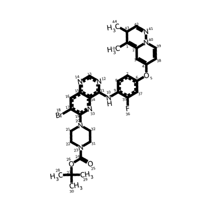 CC1=C2C=C(Oc3ccc(Nc4ncnc5cc(Br)c(N6CCN(C(=O)OC(C)(C)C)CC6)nc45)c(F)c3)C=CN2N=CC1C